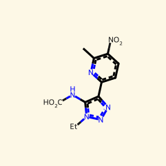 CCn1nnc(-c2ccc([N+](=O)[O-])c(C)n2)c1NC(=O)O